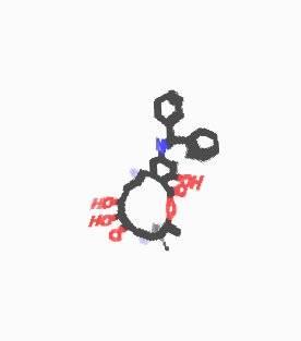 CC1OC(=O)c2c(O)cc(N=C(c3ccccc3)c3ccccc3)cc2/C=C/CC(O)C(O)C(=O)/C=C\[C@H]1C